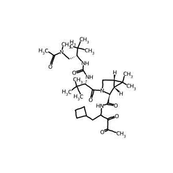 CC(=O)C(=O)C(CC1CCC1)NC(=O)[C@@H]1[C@@H]2[C@H](CN1C(=O)[C@@H](NC(=O)N[C@H](CN(C)C(C)=O)C(C)(C)C)C(C)(C)C)C2(C)C